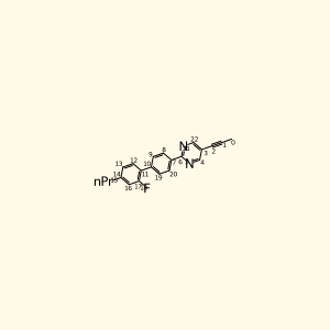 CC#Cc1cnc(-c2ccc(-c3ccc(CCC)cc3F)cc2)nc1